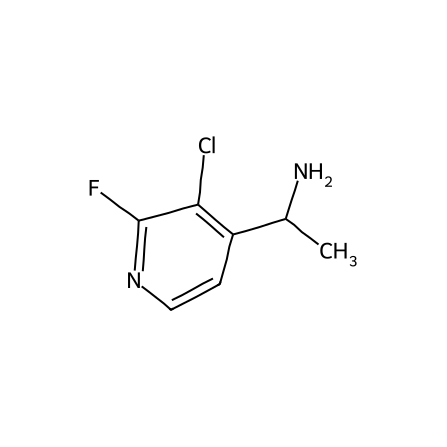 CC(N)c1ccnc(F)c1Cl